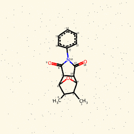 CC1C(C)C2OC1C1C(=O)N(c3ccccc3)C(=O)C21